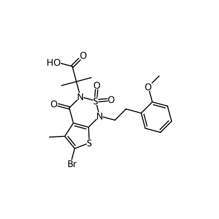 COc1ccccc1CCN1c2sc(Br)c(C)c2C(=O)N(C(C)(C)C(=O)O)S1(=O)=O